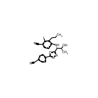 CCCc1c(N[C@@H](c2nnc(-c3ccc(C#N)cc3)o2)[C@H](C)O)ccc(C#N)c1I